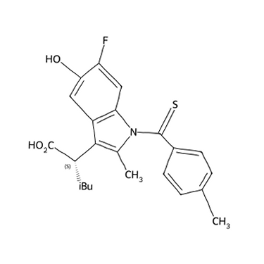 CCC(C)[C@H](C(=O)O)c1c(C)n(C(=S)c2ccc(C)cc2)c2cc(F)c(O)cc12